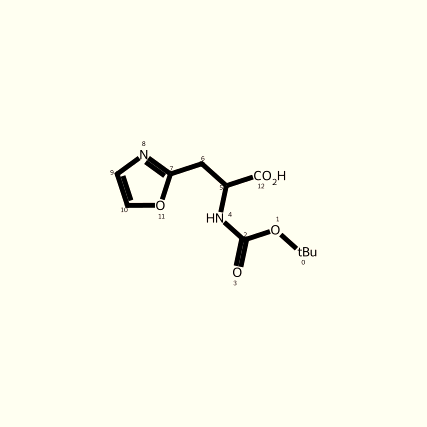 CC(C)(C)OC(=O)NC(Cc1ncco1)C(=O)O